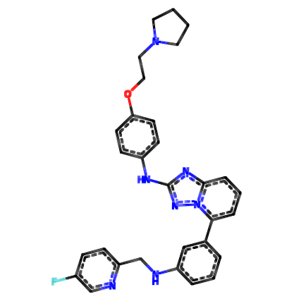 Fc1ccc(CNc2cccc(-c3cccc4nc(Nc5ccc(OCCN6CCCC6)cc5)nn34)c2)nc1